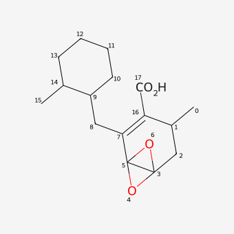 CC1CC23OC2(O3)C(CC2CCCCC2C)=C1C(=O)O